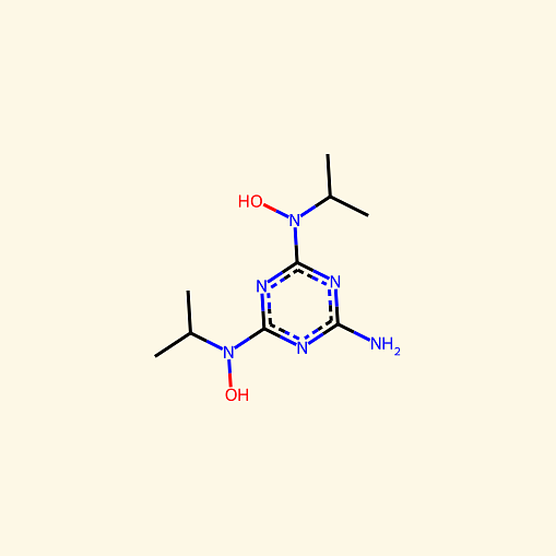 CC(C)N(O)c1nc(N)nc(N(O)C(C)C)n1